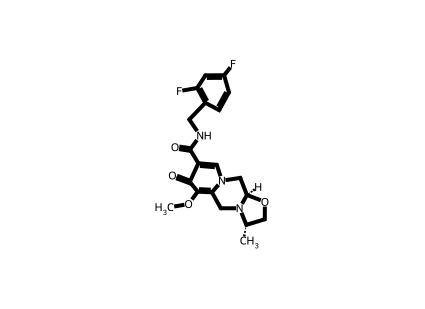 COc1c2n(cc(C(=O)NCc3ccc(F)cc3F)c1=O)C[C@H]1OC[C@H](C)N1C2